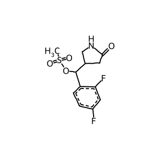 CS(=O)(=O)OC(c1ccc(F)cc1F)C1CNC(=O)C1